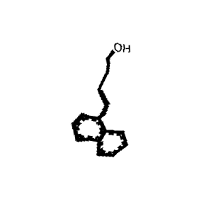 OCCC=Cc1cccc2ccccc12